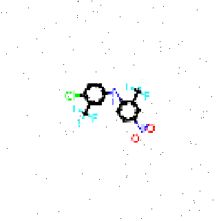 O=[N+]([O-])c1ccc(Nc2ccc(Cl)c(C(F)(F)F)c2)c(C(F)(F)F)c1